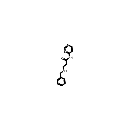 O=C(CCNCc1ccccc1)Nc1ccncn1